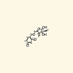 C#C[C@]1(O)C(O)O[C@H](COCc2ccc(Cl)cc2Cl)[C@H]1F